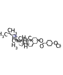 COc1ccc(C(=O)O[C@@H]2CC[C@@]3(C)C(=CC[C@@H]4C3CC[C@]3(C)[C@@H]([C@H](C)/C=C\C=C(C)C)CC[C@@H]43)C2)cc1